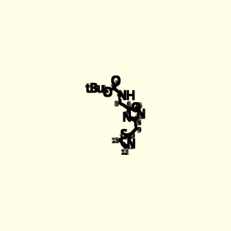 CC(C)(C)OC(=O)NCc1nc(Cc2nccs2)no1